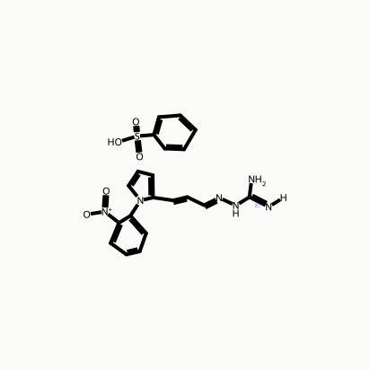 O=S(=O)(O)c1ccccc1.[H]/N=C(\N)NN=CC=Cc1cccn1-c1ccccc1[N+](=O)[O-]